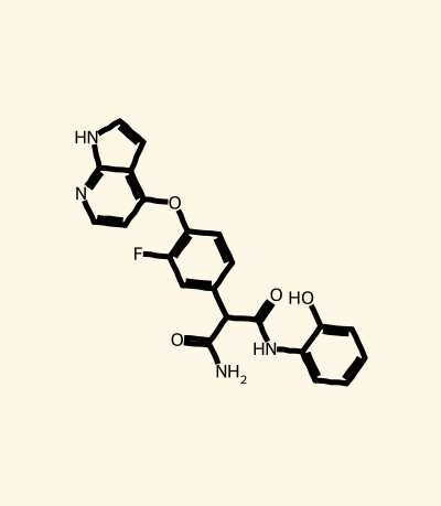 NC(=O)C(C(=O)Nc1ccccc1O)c1ccc(Oc2ccnc3[nH]ccc23)c(F)c1